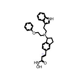 O=C(/C=C/c1ccc2c(c1)CCC2N(CCOc1ccccc1)CCc1c[nH]c2ccccc12)NO